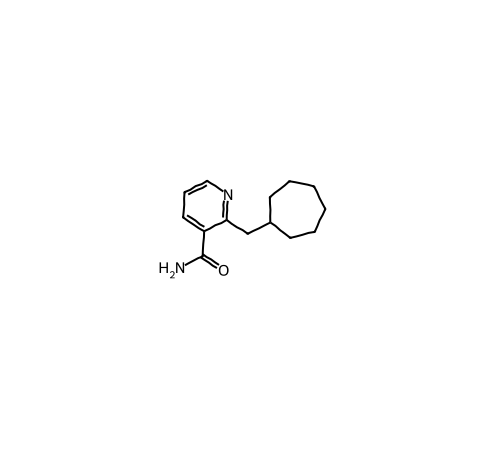 NC(=O)c1cccnc1CC1CCCCCC1